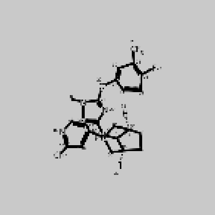 Cn1nc(NC2[C@@H]3CC[C@H]2CN(c2ccnc(Cl)c2)C3)nc1Oc1ccc(F)c(C(F)(F)F)c1